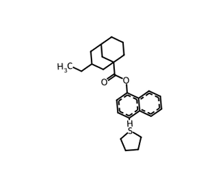 CCC1CC2CCCC(C(=O)Oc3ccc([SH]4CCCC4)c4ccccc34)(C1)C2